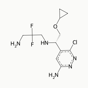 NCC(F)(F)CN[C@H](COC1CC1)c1cc(N)nnc1Cl